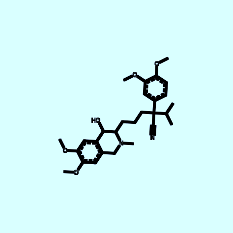 COc1ccc(C(C#N)(CCCC2C(O)c3cc(OC)c(OC)cc3CN2C)C(C)C)cc1OC